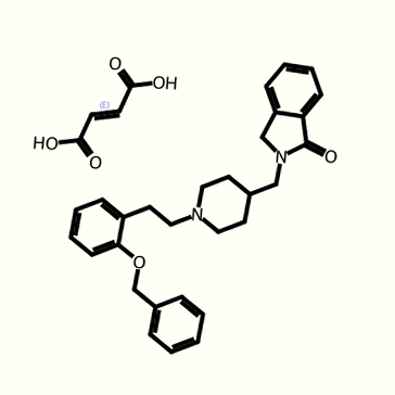 O=C(O)/C=C/C(=O)O.O=C1c2ccccc2CN1CC1CCN(CCc2ccccc2OCc2ccccc2)CC1